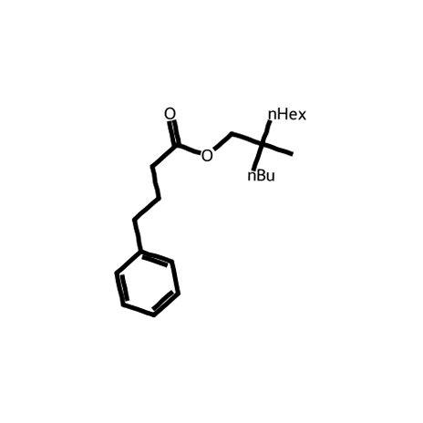 CCCCCCC(C)(CCCC)COC(=O)CCCc1ccccc1